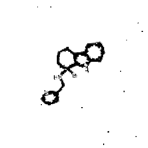 BrC1(NCc2cccs2)CCCc2c1[nH]c1ccccc21